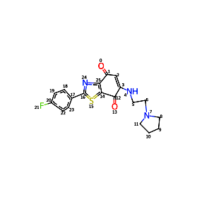 O=C1C=C(NCCN2CCCC2)C(=O)c2sc(-c3ccc(F)cc3)nc21